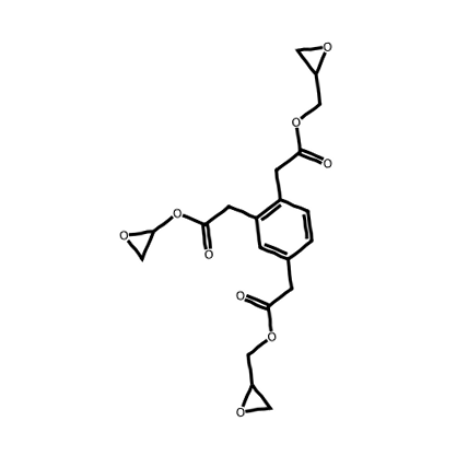 O=C(Cc1ccc(CC(=O)OCC2CO2)c(CC(=O)OC2CO2)c1)OCC1CO1